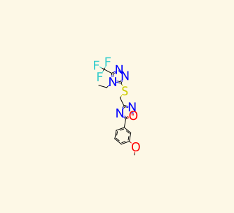 CCn1c(SCc2noc(-c3cccc(OC)c3)n2)nnc1C(F)(F)F